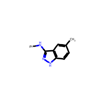 Cc1ccc2[nH]nc(NC(C)C)c2c1